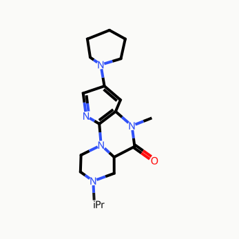 CC(C)N1CCN2c3ncc(N4CCCCC4)cc3N(C)C(=O)C2C1